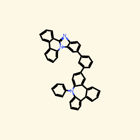 c1ccc(N2c3ccccc3-c3ccccc3-c3cc(-c4cccc(-c5ccc6nc7c8ccccc8c8ccccc8n7c6c5)c4)ccc32)cc1